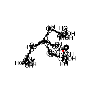 CC(=O)NC1[C@H](OCCCCOP(=O)(S)OCCCOCC(COCCCOP(=O)(S)OCCCCO[C@@H]2OC(CO)[C@@H](O)[C@H](O)C2NC(C)=O)(COCCCOP(=O)(S)OCCCCO[C@@H]2OC(CO)[C@H](O)[C@H](O)C2NC(C)=O)COCCCOP(=O)(S)OC(=O)OCc2ccccc2)OC(CO)[C@@H](O)[C@@H]1O